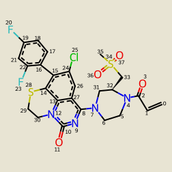 C=CC(=O)N1CCN(c2nc(=O)n3c4c(c(-c5ccc(F)cc5F)c(Cl)cc24)SCC3)C[C@H]1CS(C)(=O)=O